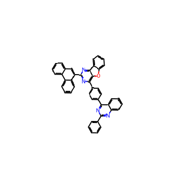 c1ccc(-c2nc(-c3ccc(-c4nc(-c5cc6ccccc6c6ccccc56)nc5c4oc4ccccc45)cc3)c3ccccc3n2)cc1